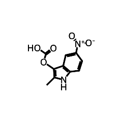 Cc1[nH]c2ccc([N+](=O)[O-])cc2c1OC(=O)O